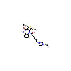 Cc1sc(C)c2c1C(=O)Nc1ccccc1N2C(=O)CCCCCN1CCN(C)CC1